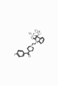 CSC1(C)C(=O)N(CCN2CCC(C(=O)c3ccc(F)cc3)CC2)c2ccccc21